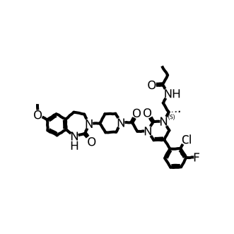 CCC(=O)NC[C@H](C)N1CC(c2cccc(F)c2Cl)=CN(CC(=O)N2CCC(N3CCc4cc(OC)ccc4NC3=O)CC2)C1=O